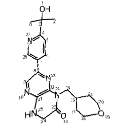 CC(C)(O)c1ccc(-c2cnc3c(n2)N(CC2CCOCC2)C(=O)CN3)cn1